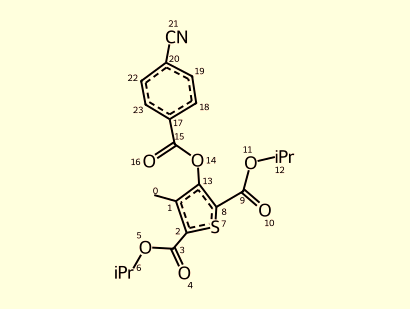 Cc1c(C(=O)OC(C)C)sc(C(=O)OC(C)C)c1OC(=O)c1ccc(C#N)cc1